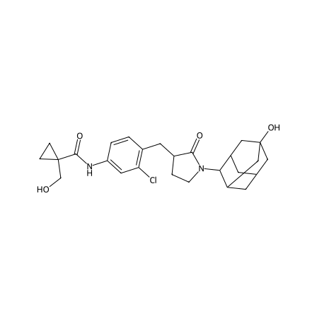 O=C1C(Cc2ccc(NC(=O)C3(CO)CC3)cc2Cl)CCN1C1C2CC3CC1CC(O)(C3)C2